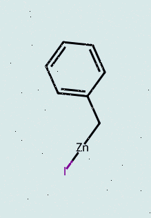 [I][Zn][CH2]c1ccccc1